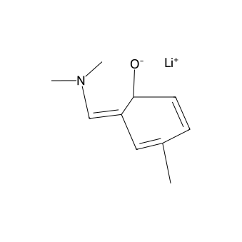 CC1=CC(=CN(C)C)C([O-])C=C1.[Li+]